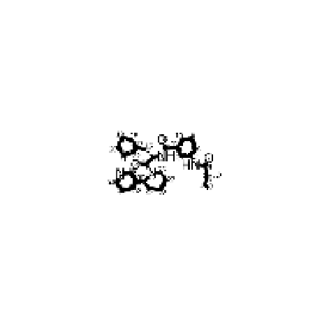 CC[C@@H](C)C(=O)Nc1cccc(C(=O)N[C@@H](Cc2ccccc2)C(=O)N2CC=CCC2c2cccnc2)c1